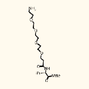 CNC(=O)[C@H](NC(=O)CCOCCOCCOCCOCCN)C(C)C